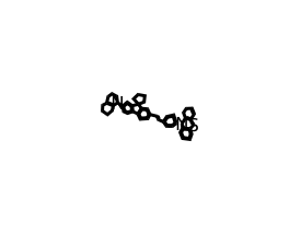 C1=CC2=C(CC1)N(c1ccc(/C=C/c3ccc4c(c3)C3(CCCC3)c3cc(N5CCCC6=C5CCCC6)ccc3-4)cc1)c1ccccc1S2